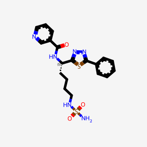 NS(=O)(=O)NCCCC[C@H](NC(=O)c1cccnc1)c1nnc(-c2ccccc2)s1